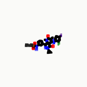 CNS(=O)(=O)Nc1cccc(-c2nn(C3CC3)c(=O)c3c(Nc4ccc(I)cc4F)c(C)c(=O)n(C)c23)c1